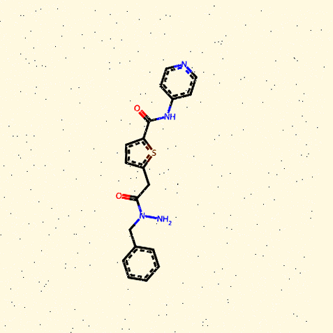 NN(Cc1ccccc1)C(=O)Cc1ccc(C(=O)Nc2ccncc2)s1